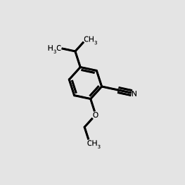 CCOc1ccc(C(C)C)cc1C#N